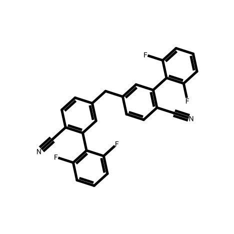 N#Cc1ccc(Cc2ccc(C#N)c(-c3c(F)cccc3F)c2)cc1-c1c(F)cccc1F